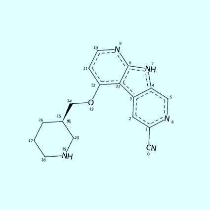 N#Cc1cc2c(cn1)[nH]c1nccc(OC[C@@H]3CCCNC3)c12